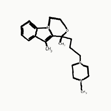 Cc1c2n(c3ccccc13)CCOC2(C)CCCN1CCN(C)CC1